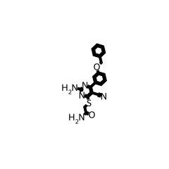 N#Cc1c(SCC(N)=O)nc(N)nc1-c1cccc(OCc2ccccc2)c1